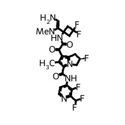 CN/C(=C\N)C1(NC(=O)C(=O)c2c(C)c(C(=O)Nc3ccnc(C(F)F)c3F)n3c2C[C@@H](F)C3)CC(F)(F)C1